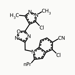 CCCc1cc2c(Cl)c(C#N)ccc2n1Cc1noc(-c2c(C)nn(C)c2Cl)n1